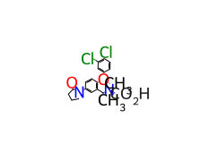 CC(c1cc(N2CCCC2=O)ccc1Oc1ccc(Cl)c(Cl)c1)N(C)C(=O)O